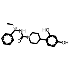 CC[C@H](NC(=O)N1CCC(c2ccc(O)cc2O)CC1)c1ccccc1